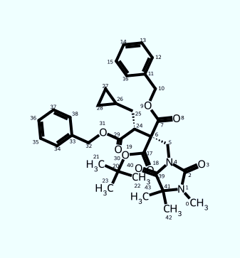 CN1C(=O)N(C[C@](C(=O)OCc2ccccc2)(C(=O)OC(C)(C)C)[C@@H](CC2CC2)C(=O)OCc2ccccc2)C(=O)C1(C)C